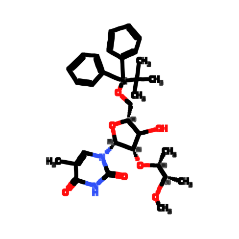 CO[C@@H](C)[C@@H](C)O[C@H]1C(O)[C@@H](CO[Si](c2ccccc2)(c2ccccc2)C(C)(C)C)O[C@H]1n1cc(C)c(=O)[nH]c1=O